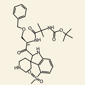 CC(C)(C)OC(=O)NC(C)(C)C(=O)N[C@H](COCc1ccccc1)C(=O)C1Nc2cccc(S(C)(=O)=O)c2C12CCNCC2